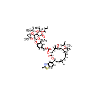 C=CCOC(=O)[C@H]1O[C@@H](Oc2ccc(COC(=O)O[C@H]3CC(=O)O[C@H](c4ccc5sc(C)nc5c4)C/C=C(/C)CCC[C@H](C)[C@H](O[Si](C)(C)C(C)(C)C)[C@@H](CC=C)C(=O)C3(C)C)cc2OC)[C@H](O[Si](C)(C)C(C)(C)C)[C@@H](O[Si](C)(C)C(C)(C)C)[C@H]1O[Si](C)(C)C(C)(C)C